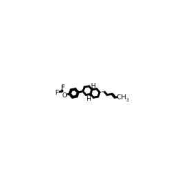 CC=CCC[C@@H]1CC[C@@H]2CC(c3ccc(OC(F)F)cc3)CC[C@@H]2C1